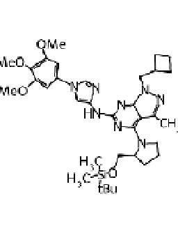 COc1cc(-n2cnc(Nc3nc(N4CCC[C@H]4CO[Si](C)(C)C(C)(C)C)c4c(C)nn(CC5CCC5)c4n3)c2)cc(OC)c1OC